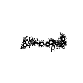 CC(C)(C)[C@H](NC(=O)C1(C2(O)CCC(F)(F)CC2)CC1)c1nc(-c2ccc(-c3ccc4c(c3)CCc3nc([C@@H](NC(=O)C5(C6(O)CCC(F)(F)CC6)CC5)C(C)(C)C)[nH]c3-4)cc2)c[nH]1